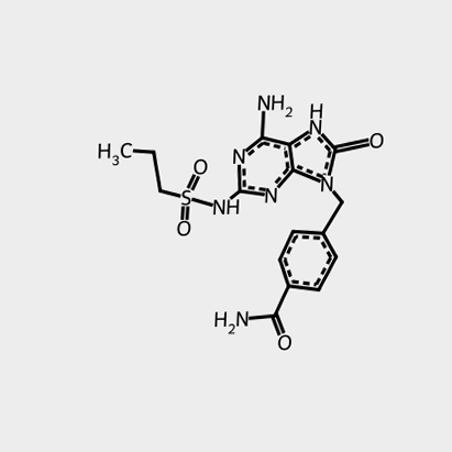 CCCS(=O)(=O)Nc1nc(N)c2[nH]c(=O)n(Cc3ccc(C(N)=O)cc3)c2n1